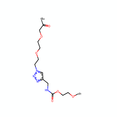 CCCOCCOC(=O)NCc1cn(CCOCCOCC(=O)C(C)(C)C)nn1